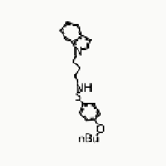 CCCCOc1ccc(SNCCCn2ccc3ccccc32)cc1